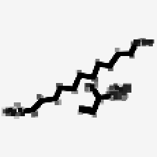 C=CC(C=O)CC.CCCCCCCCCCCCCCCCCCCCCC(=O)O.[NaH]